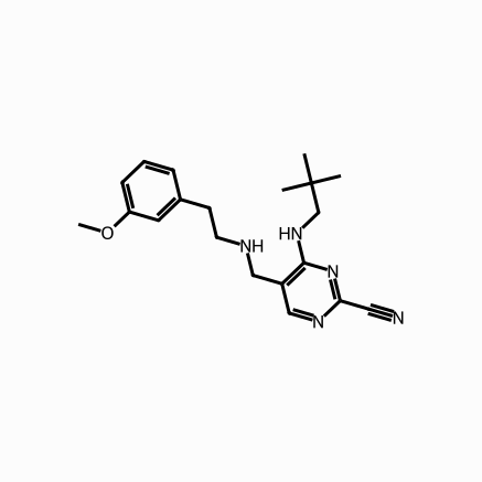 COc1cccc(CCNCc2cnc(C#N)nc2NCC(C)(C)C)c1